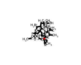 B[C@@H]1OC(CC(F)(F)P(=O)(OCC)OCC)(CC(F)(F)P(=O)(OCC)OCC)C(OP(OCCC#N)N(C(C)C)C(C)C)C1CC(C)(C)[Si](C)(C)O